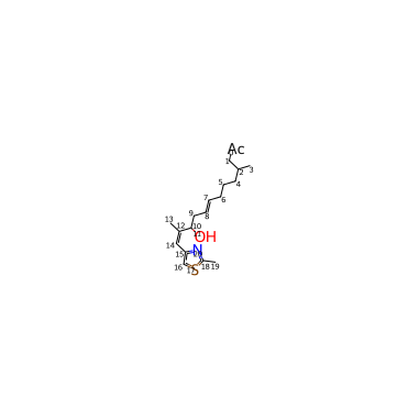 CC(=O)CC(C)CCCC=CCC(O)C(C)=Cc1csc(C)n1